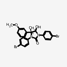 COc1cccc([C@]2(C)C(O)N(c3ccc(Br)cc3)C(=O)N2c2ccc(Br)cc2)c1